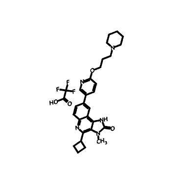 Cn1c(=O)[nH]c2c3cc(-c4ccc(OCCCN5CCCCC5)nc4)ccc3nc(C3CCC3)c21.O=C(O)C(F)(F)F